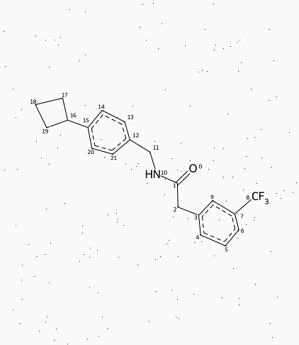 O=C(Cc1cccc(C(F)(F)F)c1)NCc1ccc(C2CCC2)cc1